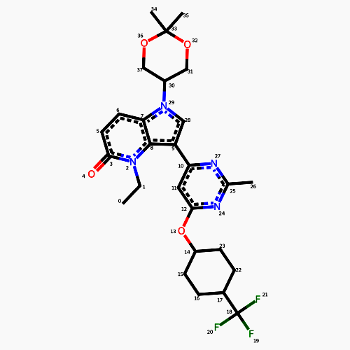 CCn1c(=O)ccc2c1c(-c1cc(OC3CCC(C(F)(F)F)CC3)nc(C)n1)cn2C1COC(C)(C)OC1